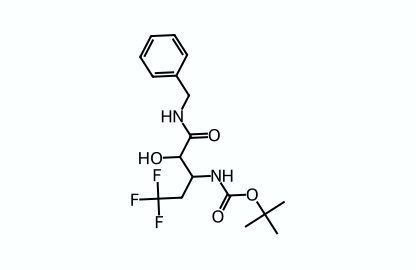 CC(C)(C)OC(=O)NC(CC(F)(F)F)C(O)C(=O)NCc1ccccc1